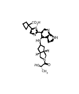 C[C@H](O)C(=O)N1C[C@H]2CC(Nc3c(-c4ncc(C5(C(=O)O)CCC5)s4)cnc4[nH]ccc34)C[C@H]2C1